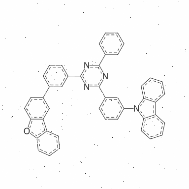 c1ccc(-c2nc(-c3cccc(-c4ccc5oc6ccccc6c5c4)c3)nc(-c3cccc(-n4c5ccccc5c5ccccc54)c3)n2)cc1